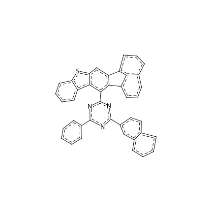 c1ccc(-c2nc(-c3ccc4ccccc4c3)nc(-c3c4c(cc5sc6ccccc6c35)-c3cccc5cccc-4c35)n2)cc1